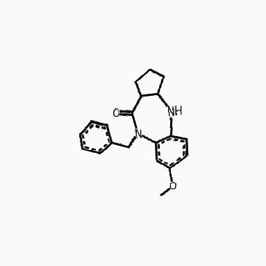 COc1ccc2c(c1)N(Cc1ccccc1)C(=O)C1CCCC1N2